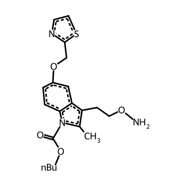 CCCCOC(=O)n1c(C)c(CCON)c2cc(OCc3nccs3)ccc21